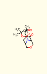 CC(=O)CC1CC2COCC(C1=O)N2C(=O)OC(C)(C)C